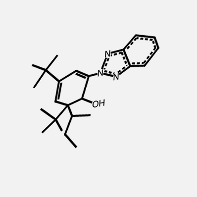 CCC(C)C1(C(C)(C)C)C=C(C(C)(C)C)C=C(n2nc3ccccc3n2)C1O